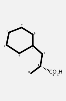 C[C@H](CC1CCCCC1)C(=O)O